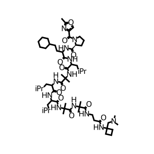 Cc1nc(C(=O)N2CCC[C@H]2C(=O)NC(CCC2CCCCC2)C(=O)NC(CC(C)C)C(=O)NC(C)(C)C(=O)NC(CC(C)C)C(=O)NC(CC(C)C)C(=O)NC(C)(C)C(=O)NC(C)(C)C(=O)NCCC(=O)NC2(CN(C)C)CCC2)co1